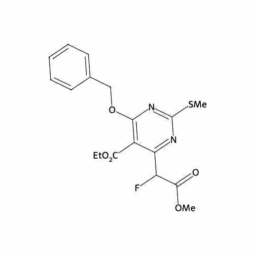 CCOC(=O)c1c(OCc2ccccc2)nc(SC)nc1C(F)C(=O)OC